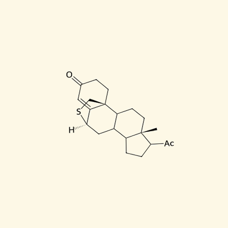 CC(=O)C1CCC2C3C[C@H]4SC[C@@]5(CCC(=O)C=C45)C3CC[C@]12C